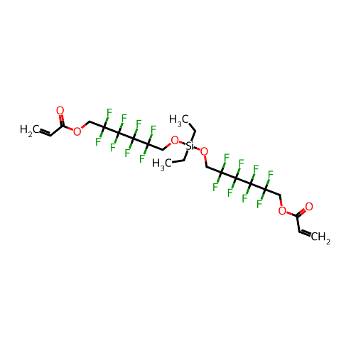 C=CC(=O)OCC(F)(F)C(F)(F)C(F)(F)C(F)(F)CO[Si](CC)(CC)OCC(F)(F)C(F)(F)C(F)(F)C(F)(F)COC(=O)C=C